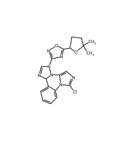 CC1(C)CCC(c2nc(N3C=NC4c5ccccc5-n5c(cnc5Cl)N43)no2)O1